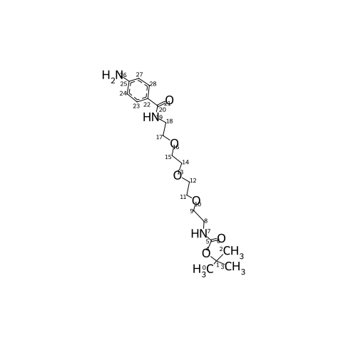 CC(C)(C)OC(=O)NCCOCCOCCOCCNC(=O)c1ccc(N)cc1